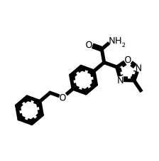 Cc1noc(C(C(N)=O)c2ccc(OCc3ccccc3)cc2)n1